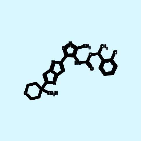 Cc1noc(C2=CC3=NC(C4(C(=O)O)CCOCC4)=CC3=N2)c1NC(=O)OC(C)c1ccccc1Cl